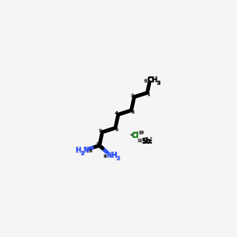 CCCCCCCC(N)N.[Cl].[Sb]